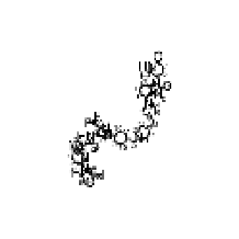 Cn1c(=O)n(C2CCC(=O)NC2=O)c2cccc(N3CCN(CC4CCN(C[C@H]5CC[C@H](n6cc(NC(=O)c7cnn8ccc(N9C[C@H]%10C[C@@H]9CO%10)nc78)c(C(F)F)n6)CC5)CC4)CC3)c21